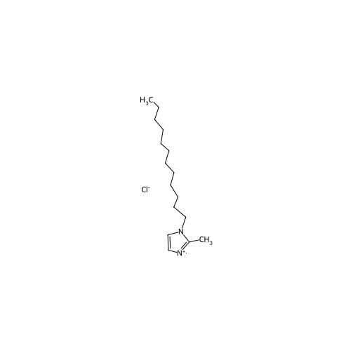 CCCCCCCCCCCCN1C=C[N+]=C1C.[Cl-]